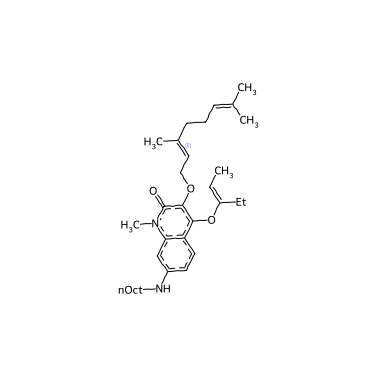 CC=C(CC)Oc1c(OC/C=C(\C)CCC=C(C)C)c(=O)n(C)c2cc(NCCCCCCCC)ccc12